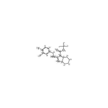 CC(C)(C)OC(=O)N1C(NCc2ccc(F)c(F)c2)=NC2CCCCC21